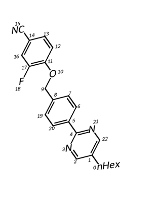 CCCCCCc1cnc(-c2ccc(COc3ccc(C#N)cc3F)cc2)nc1